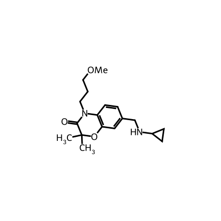 COCCCN1C(=O)C(C)(C)Oc2cc(CNC3CC3)ccc21